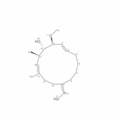 CO[C@H]1/C=C/CCCCC(=NO)CC/C(C)=C\[C@@H](C)[C@@H]1O